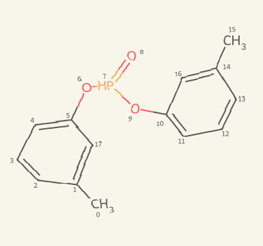 Cc1cccc(O[PH](=O)Oc2cccc(C)c2)c1